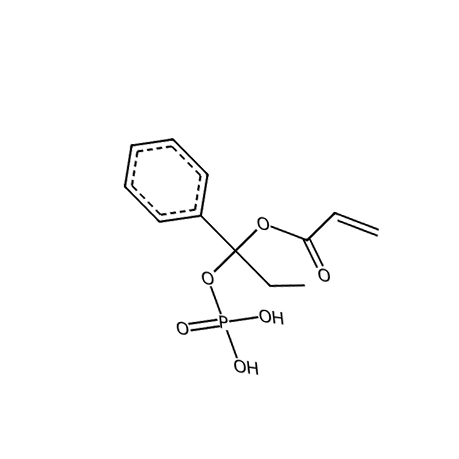 C=CC(=O)OC(CC)(OP(=O)(O)O)c1ccccc1